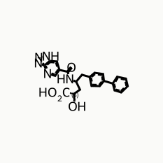 O=C(NC(Cc1ccc(-c2ccccc2)cc1)C[C@@H](CO)C(=O)O)c1cnc2nn[nH]c2c1